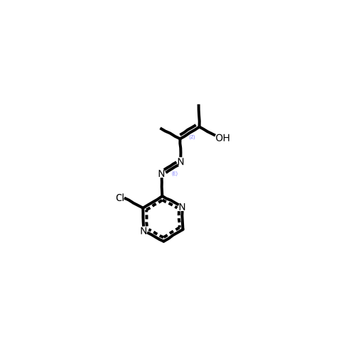 C/C(O)=C(C)/N=N/c1nccnc1Cl